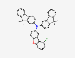 CC1(C)c2ccccc2-c2cc(N(c3ccc4c(c3)C(C)(C)c3ccccc3-4)c3ccc4oc5cccc(Cl)c5c4c3)ccc21